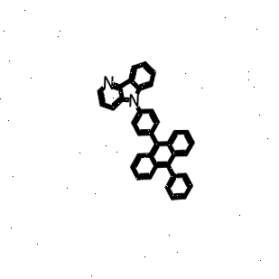 c1ccc(-c2c3ccccc3c(-c3ccc(-n4c5ccccc5c5ncccc54)cc3)c3ccccc23)cc1